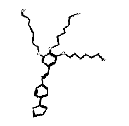 BrCCCCCCOc1cc(C=Cc2ccc(-c3cccs3)cc2)cc(OCCCCCCBr)c1OCCCCCCBr